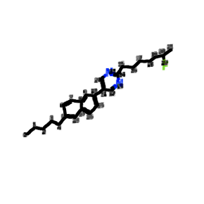 CCCCCc1ccc2cc(-c3cnc(CCCCCC(C)F)nc3)ccc2c1